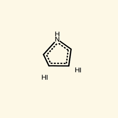 I.I.c1cc[nH]c1